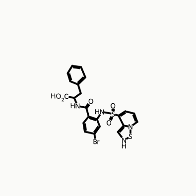 O=C(NC(Cc1ccccc1)C(=O)O)c1ccc(Br)cc1NS(=O)(=O)C1=CC=CN2SNC=C12